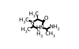 CC(N)NC(=O)[C@H](C)N(C)C(C)C